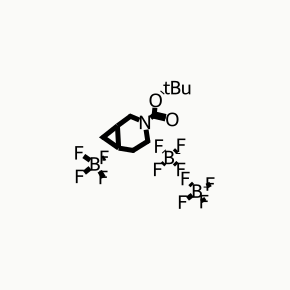 CC(C)(C)OC(=O)N1CCC2CC2C1.F[B-](F)(F)F.F[B-](F)(F)F.F[B-](F)(F)F